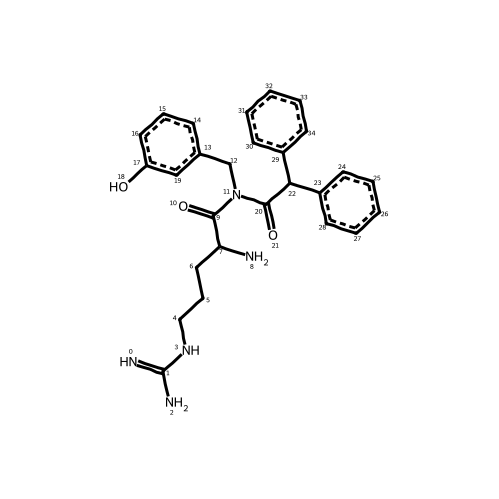 N=C(N)NCCCC(N)C(=O)N(Cc1cccc(O)c1)C(=O)C(c1ccccc1)c1ccccc1